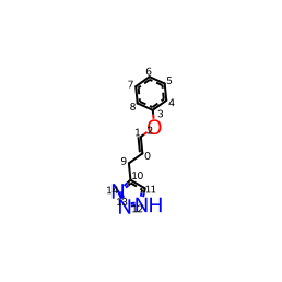 C(=COc1ccccc1)Cc1c[nH]nn1